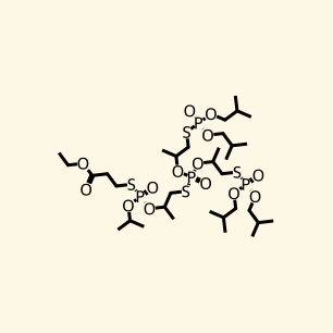 CCOC(=O)CCSP(=O)(OC(C)C)OC(C)CSP(=O)(OC(C)CSP(=O)(OCC(C)C)OCC(C)C)OC(C)CSP(=O)(OCC(C)C)OCC(C)C